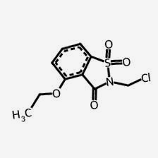 CCOc1cccc2c1C(=O)N(CCl)S2(=O)=O